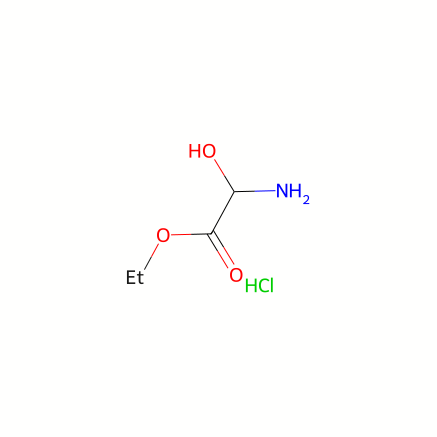 CCOC(=O)C(N)O.Cl